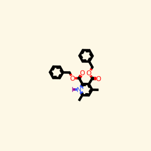 Cc1cc(C)[n+](I)c(C(=O)OCc2ccccc2)c1C(=O)OCc1ccccc1